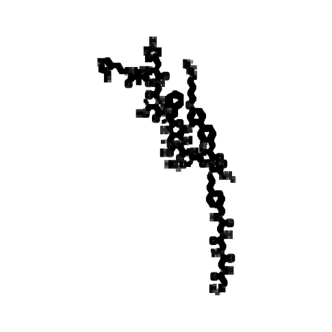 CCc1cc(OCCCCN=[N+]=[N-])ccc1-c1ccc(C[C@H](NC(=O)[C@H](CC(=O)O)NC(=O)[C@H](CO)NC(=O)[C@@H](NC(=O)[C@](C)(Cc2ccccc2F)NC(=O)[C@@H](NC(=O)CNC(=O)[C@H](Cc2nn[nH]n2)NC(=O)C(C)(C)C(=O)NCCc2cnc[nH]2)[C@@H](C)O)[C@@H](C)O)C(=O)N[C@@H](CCCc2ccc(CNC(=O)CNC(=O)CNC(=O)CNC(=O)CN)cc2)C(N)=O)cc1